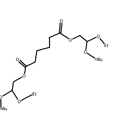 CCCCOC(COC(=O)CCCCC(=O)OCC(OCC)OCCCC)OCC